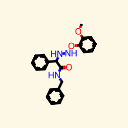 COc1ccccc1ONNC(C(=O)NCc1ccccc1)c1ccccc1